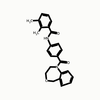 Cc1cccc(C(=O)Nc2ccc(C(=O)N3CCOCc4ccccc43)cc2)c1C